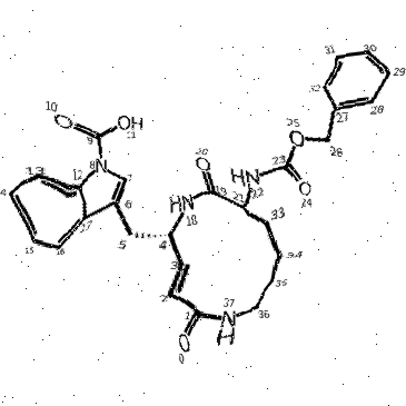 O=C1/C=C/[C@H](Cc2cn(C(=O)O)c3ccccc23)NC(=O)C(NC(=O)OCc2ccccc2)CCCCN1